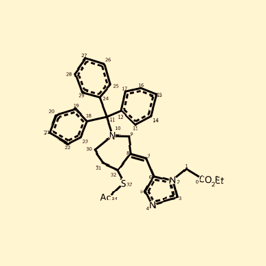 CCOC(=O)Cn1cncc1/C=C1/CN(C(c2ccccc2)(c2ccccc2)c2ccccc2)CCC1SC(C)=O